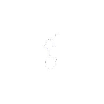 CCC(C)c1ccn(-c2ccccc2)n1